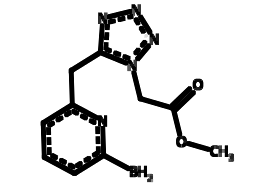 Bc1cccc(Cc2nnnn2CC(=O)OC)n1